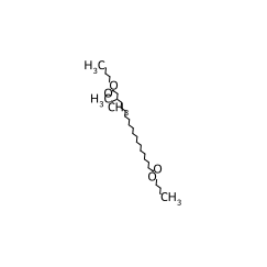 CCCCCOC(=O)CCCCCCCCCCCCCCCCC(CC(=O)OCCCCC)C(C)C